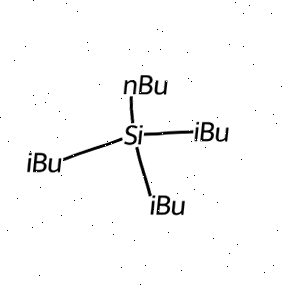 CCCC[Si](C(C)CC)(C(C)CC)C(C)CC